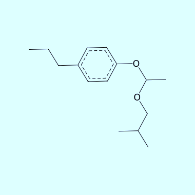 CCCc1ccc(OC(C)OCC(C)C)cc1